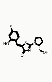 O=C1N=C(N2CCC[C@@H]2CO)S/C1=C\c1ccc(F)cc1O